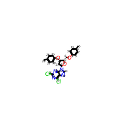 Cc1ccc(OC[C@@H]2O[C@H](n3cnc4c(Cl)nc(Cl)nc43)C[C@H]2Oc2ccc(C)cc2)cc1